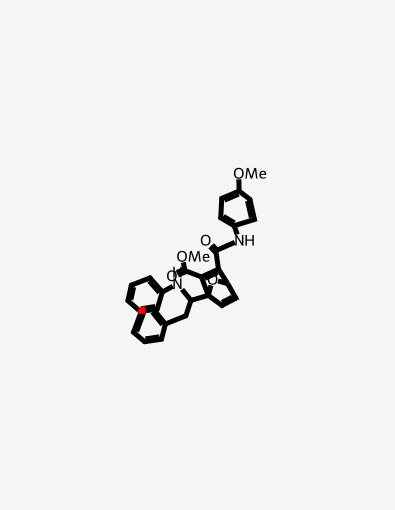 COC(=O)C1=C(C(=O)Nc2ccc(OC)cc2)C2C=CC1(C(Cc1ccccc1)Nc1ccccc1)O2